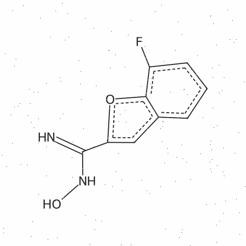 N=C(NO)c1cc2cccc(F)c2o1